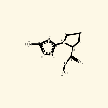 CC(C)(C)OC(=O)[C@@H]1CCCN1c1nnc(N)s1